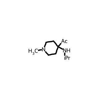 CC(=O)C1(NC(C)C)CCN(C)CC1